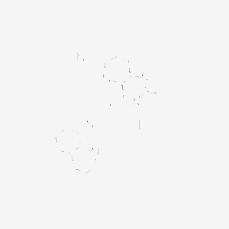 CC1CN(c2cccc3cccnc23)CCN1c1nc(=O)n(C)c2ccc(C#N)nc12